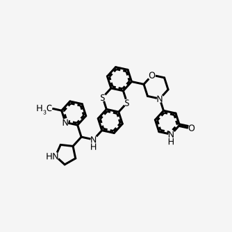 Cc1cccc(C(Nc2ccc3c(c2)Sc2cccc(C4CN(c5cc[nH]c(=O)c5)CCO4)c2S3)C2CCNC2)n1